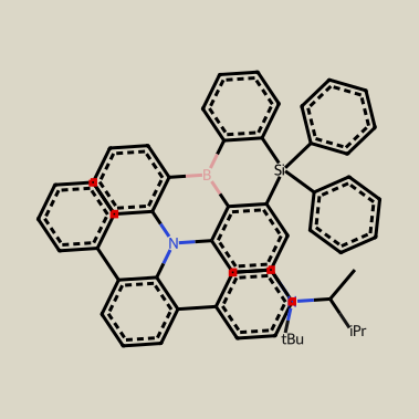 CC(C)C(C)N(c1cc2c3c(c1)[Si](c1ccccc1)(c1ccccc1)c1ccccc1B3c1ccccc1N2c1c(-c2ccccc2)cccc1-c1ccccc1)C(C)(C)C